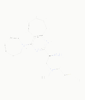 CSCCN(C)CC(N)c1nc2c(c(N3CCCCCC3)n1)CCCCC2